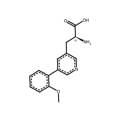 COc1ccccc1-c1cncc(C[C@H](N)C(=O)O)c1